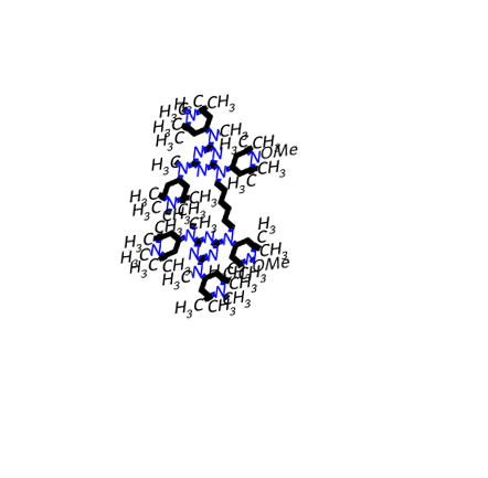 CON1C(C)(C)CC(N(CCCCCCN(c2nc(N(C)C3CC(C)(C)N(C)C(C)(C)C3)nc(N(C)C3CC(C)(C)N(C)C(C)(C)C3)n2)C2CC(C)(C)N(OC)C(C)(C)C2)c2nc(N(C)C3CC(C)(C)N(C)C(C)(C)C3)nc(N(C)C3CC(C)(C)N(C)C(C)(C)C3)n2)CC1(C)C